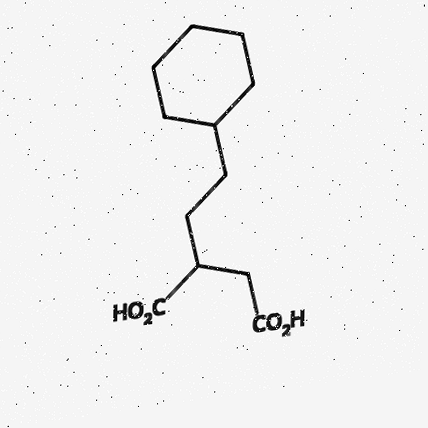 O=C(O)CC(CCC1CCCCC1)C(=O)O